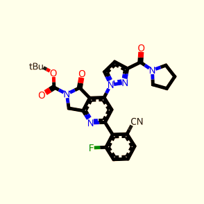 CC(C)(C)OC(=O)N1Cc2nc(-c3c(F)cccc3C#N)cc(-n3ccc(C(=O)N4CCCC4)n3)c2C1=O